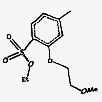 CCOS(=O)(=O)c1ccc(C)cc1OCCOC